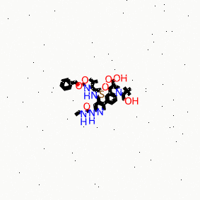 CCNC(=O)Nc1cc(-c2nc(C(NC(=O)OCc3ccccc3)C(C)C)cs2)c(-c2ccc3c(c2)c(=O)c(C(=O)O)cn3C(CO)C(C)(C)C)cn1